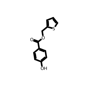 O=C(OCc1cccs1)c1ccc(O)cc1